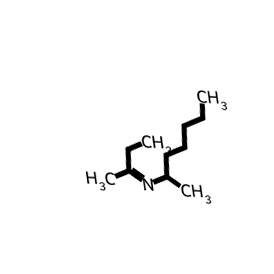 CCCCCC(C)/N=C(/C)CC